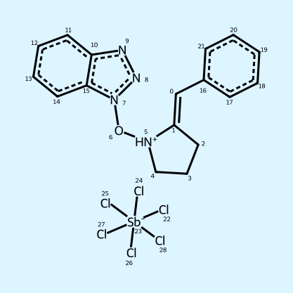 C(=C1CCC[NH+]1On1nnc2ccccc21)c1ccccc1.[Cl][Sb-]([Cl])([Cl])([Cl])([Cl])[Cl]